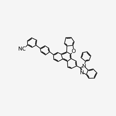 N#Cc1cccc(-c2ccc(-c3ccc4c5ccc(-c6nc7ccccc7n6-c6ccccc6)cc5c5oc6ccccc6c5c4c3)cc2)c1